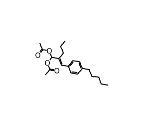 CCCCCc1ccc(/C=C(\CCC)C(OC(C)=O)OC(C)=O)cc1